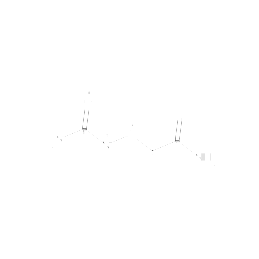 NC(=O)CONC(N)=O